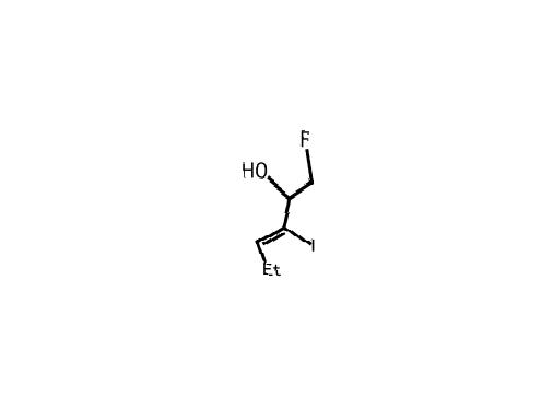 CCC=C(I)C(O)CF